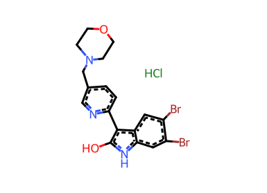 Cl.Oc1[nH]c2cc(Br)c(Br)cc2c1-c1ccc(CN2CCOCC2)cn1